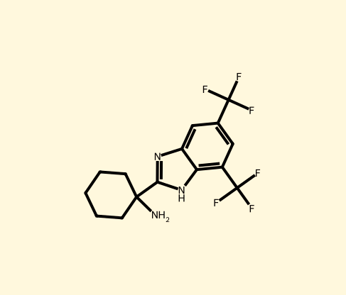 NC1(c2nc3cc(C(F)(F)F)cc(C(F)(F)F)c3[nH]2)CCCCC1